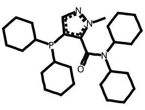 Cn1ncc(P(C2CCCCC2)C2CCCCC2)c1C(=O)N(C1CCCCC1)C1CCCCC1